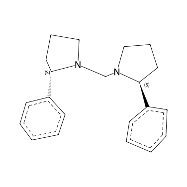 c1ccc([C@@H]2CCCN2CN2CCC[C@H]2c2ccccc2)cc1